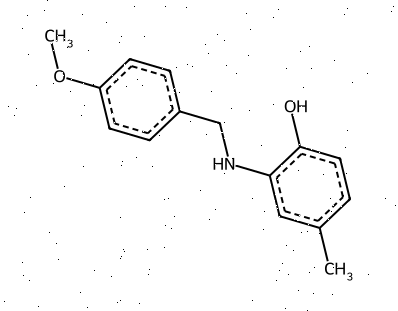 COc1ccc(CNc2cc(C)ccc2O)cc1